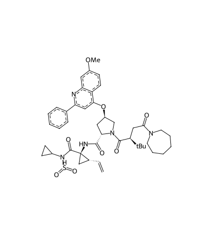 C=C[C@@H]1C[C@]1(NC(=O)[C@@H]1C[C@@H](Oc2cc(-c3ccccc3)nc3cc(OC)ccc23)CN1C(=O)[C@@H](CC(=O)N1CCCCCC1)C(C)(C)C)C(=O)N(C1CC1)[SH](=O)=O